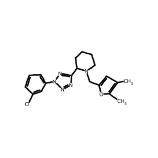 Cc1cc(CN2CCCCC2c2nnn(-c3cccc(Cl)c3)n2)oc1C